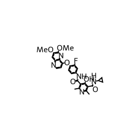 COc1cc2nccc(Oc3ccc(NC(=O)c4c(C)nc(C)c(C(=O)NC5CC5)c4O)cc3F)c2nc1OC